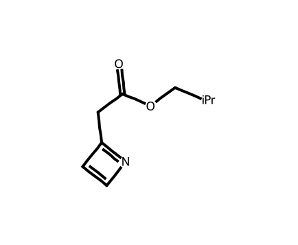 CC(C)COC(=O)CC1=NC=C1